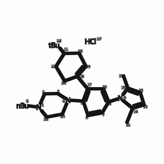 CCCCN1CCN(c2ccc(-n3c(C)ccc3C)cc2C2=CCC(C(C)(C)C)CC2)CC1.Cl